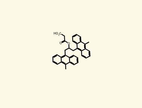 Cc1c2ccccc2c(CC(Cc2c3ccccc3c(C)c3ccccc23)OC(=O)CC(=O)O)c2ccccc12